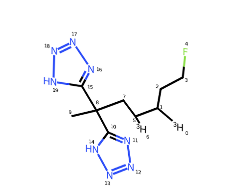 [3H]C(CCF)C([3H])CC(C)(c1nnn[nH]1)c1nnn[nH]1